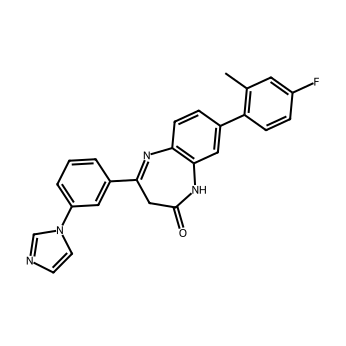 Cc1cc(F)ccc1-c1ccc2c(c1)NC(=O)CC(c1cccc(-n3ccnc3)c1)=N2